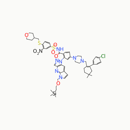 CC1(C)CCC(CN2CCN(c3ccc(C(=O)NS(=O)(=O)c4ccc(SCC5CCOCC5)c([N+](=O)[O-])c4)c(-n4ncc5nc6c(ccn6COCC[Si](C)(C)C)cc54)c3)CC2)=C(c2ccc(Cl)cc2)C1